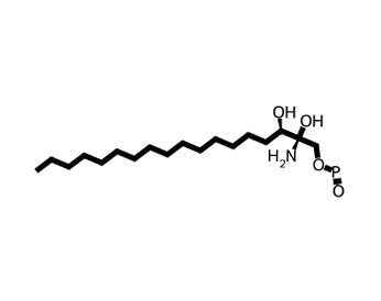 CCCCCCCCCCCCCCC[C@@H](O)[C@](N)(O)COP=O